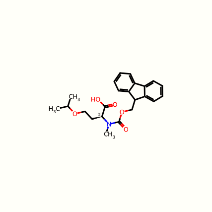 CC(C)OCC[C@@H](C(=O)O)N(C)C(=O)OCC1c2ccccc2-c2ccccc21